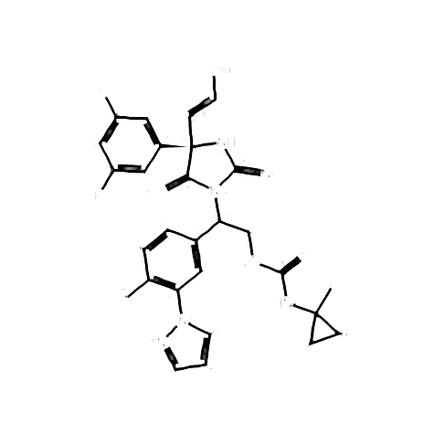 CC(C)(C)/C=C/[C@]1(c2cc(F)cc(F)c2)NC(=N)N(C(COC(=O)NC2(C)CC2)c2ccc(Cl)c(-n3cccn3)c2)C1=O